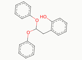 Oc1ccccc1CC(Oc1ccccc1)Oc1ccccc1